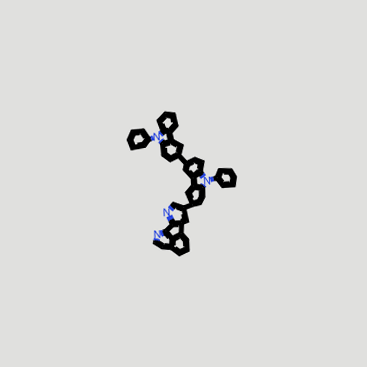 c1ccc(-n2c3ccccc3c3cc(-c4ccc5c(c4)c4cc(-c6cnc7c(c6)-c6cccc8ccnc-7c68)ccc4n5-c4ccccc4)ccc32)cc1